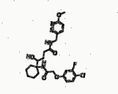 COc1ccc(CNC(=O)CCC(O)C2(NC(=O)COc3ccc(Cl)c(F)c3)CCCCC2)nn1